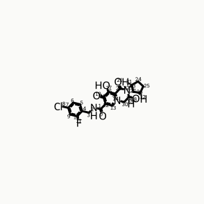 O=C(NCc1ccc(Cl)cc1F)c1cn2c(c(O)c1=O)C(=O)N1[C@@H]3CC[C@@H](C3)O[C@H]1C2